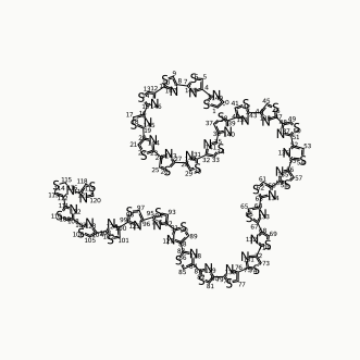 [c]1csc(-c2csc(-c3csc(-c4csc(-c5csc(-c6csc(-c7csc(-c8csc(-c9csc(-c%10csc(-c%11csc(-c%12csc(-c%13csc(-c%14csc(-c%15csc(-c%16csc(-c%17csc(-c%18csc(-c%19csc(-c%20csc(-c%21csc(-c%22csc(-c%23csc(-c%24csc(-c%25csc(-c%26csc(-c%27csc(-c%28csc(C%29=CSCN%29c%29cscn%29)n%28)n%27)n%26)n%25)n%24)n%23)n%22)n%21)n%20)n%19)n%18)n%17)n%16)n%15)n%14)n%13)n%12)n%11)n%10)n9)n8)n7)n6)n5)n4)n3)n2)n1